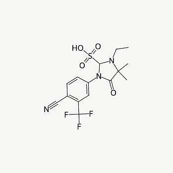 CCN1C(S(=O)(=O)O)N(c2ccc(C#N)c(C(F)(F)F)c2)C(=O)C1(C)C